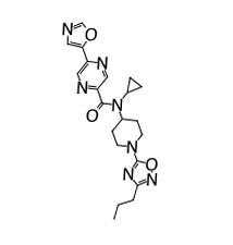 CCCc1noc(N2CCC(N(C(=O)c3cnc(-c4cnco4)cn3)C3CC3)CC2)n1